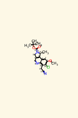 COc1cc2c3c(cnc2c(CC#N)c1Cl)CN(C(=O)OC(C)(C)C)[C@H]3C